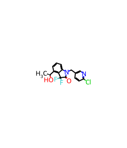 C[C@H](O)c1cccc2c1C(F)(F)C(=O)N2Cc1ccc(Cl)nc1